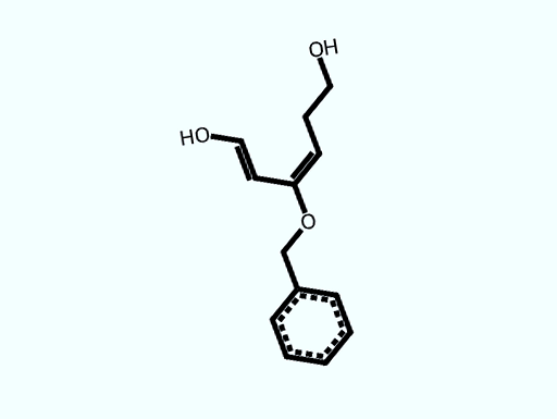 O/C=C/C(=C\CCO)OCc1ccccc1